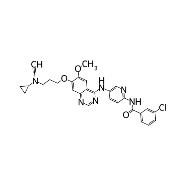 C#CN(CCCOc1cc2ncnc(Nc3ccc(NC(=O)c4cccc(Cl)c4)nc3)c2cc1OC)C1CC1